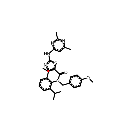 COc1ccc(CN(C(=O)c2cnc(Nc3cc(C)nc(C)n3)s2)c2c(C(C)C)cccc2C(C)C)cc1